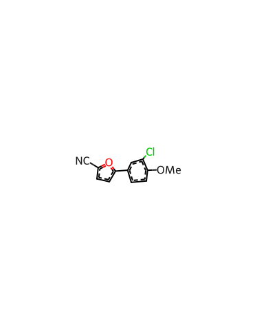 COc1ccc(-c2ccc(C#N)o2)cc1Cl